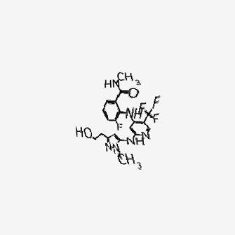 CNC(=O)c1cccc(F)c1Nc1cc(Nc2cc(CCO)nn2C)ncc1C(F)(F)F